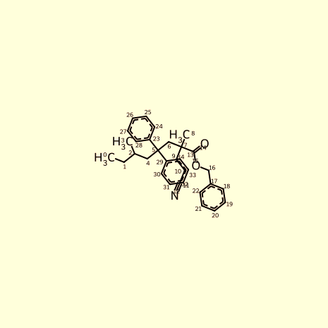 CCC(C)CC(CC(C)(CCC#N)C(=O)OCc1ccccc1)(c1ccccc1)c1ccccc1